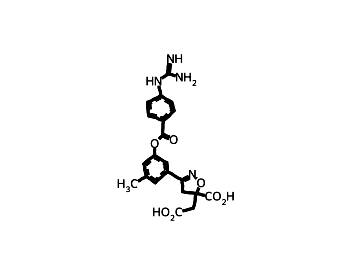 Cc1cc(OC(=O)c2ccc(NC(=N)N)cc2)cc(C2=NOC(CC(=O)O)(C(=O)O)C2)c1